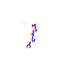 C=C(NC(=O)c1csc(N2CC[C@@H](NC(=O)C3CCOCC3)C2)n1)C(=O)NC(=C)C(=O)OC